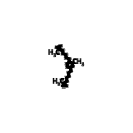 Cc1cc(CCCCCC2(C)CC2)ccc1CCCCCC1(C)CC1